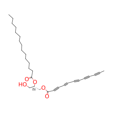 CC#CC#CC#CC#CC#CC(=O)OC[C@H](CO)OC(=O)CCCCCCCCCCCCCC